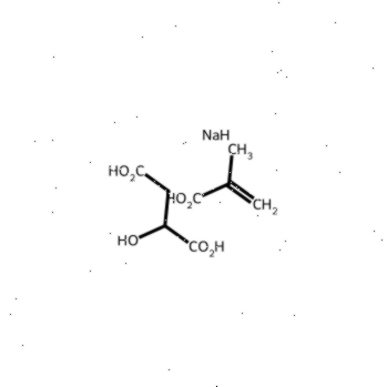 C=C(C)C(=O)O.O=C(O)CC(O)C(=O)O.[NaH]